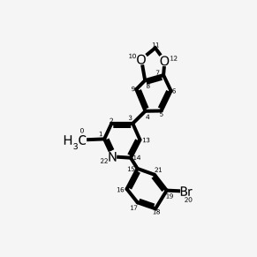 Cc1cc(-c2ccc3c(c2)OCO3)cc(-c2cccc(Br)c2)n1